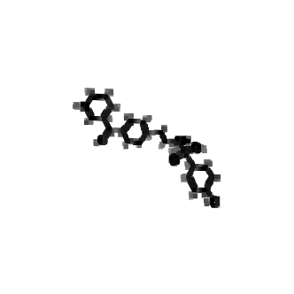 O=C(c1ccc(CCNS(=O)(=O)c2ccc(Cl)cc2)cc1)c1cccnc1